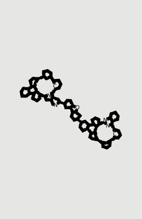 c1cc2cc(c1)c1ccc3c4ccccc4c4cccc(c5cc6cnc(-c7ccc8oc9cc(-c%10ccc%11c(c%10)c%10cccc%12c%13nc%14ccccc%14c(n%13)c%13cccc(c%13)c%13cccc(c%13)c%13ccc%11c(c%13)c%12%10)ccc9c8c7)cc6c(n5)c5cccc2c5)c4c3c1